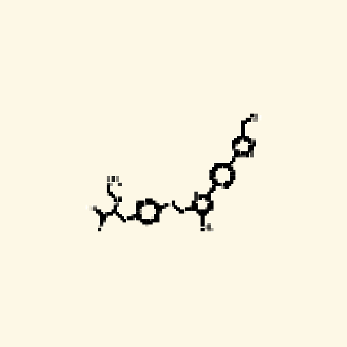 CCOC(Cc1ccc(OCc2sc(-c3ccc(-c4cc(CO)no4)cc3)cc2C)cc1)C(=O)O